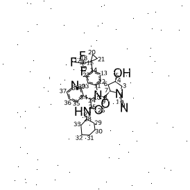 N#CN1C[C@H](O)C[C@@H]1C(=O)N(c1ccc(C2(C(F)(F)F)CC2)cc1)C(C(=O)NC1CCCCC1)c1cccnc1